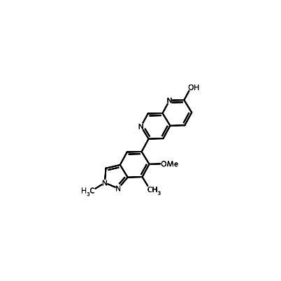 COc1c(-c2cc3ccc(O)nc3cn2)cc2cn(C)nc2c1C